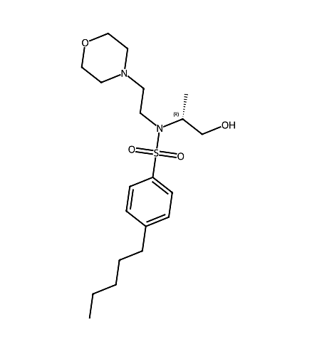 CCCCCc1ccc(S(=O)(=O)N(CCN2CCOCC2)[C@H](C)CO)cc1